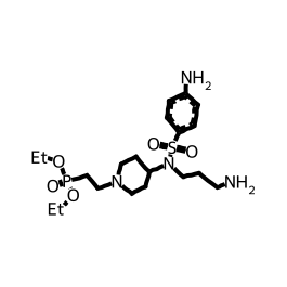 CCOP(=O)(CCN1CCC(N(CCCN)S(=O)(=O)c2ccc(N)cc2)CC1)OCC